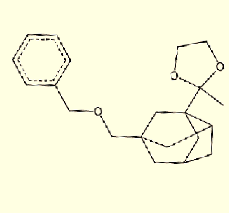 CC1(C23CC4CC2CC(COCc2ccccc2)(C4)C3)OCCO1